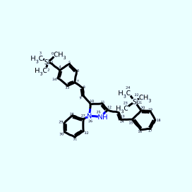 C[Si](C)(C)c1ccc(C=CC2C=C(C=Cc3ccccc3[Si](C)(C)C)NN2c2ccccc2)cc1